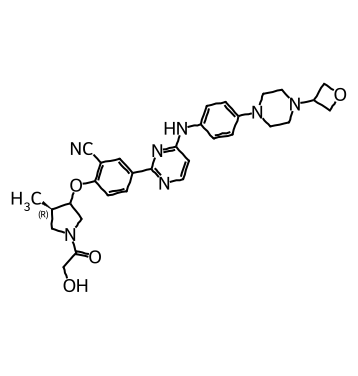 C[C@@H]1CN(C(=O)CO)CC1Oc1ccc(-c2nccc(Nc3ccc(N4CCN(C5COC5)CC4)cc3)n2)cc1C#N